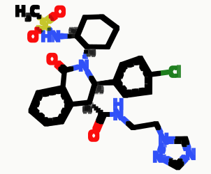 CS(=O)(=O)N[C@H]1CCCC[C@@H]1N1C(=O)c2ccccc2[C@@H](C(=O)NCCn2cncn2)[C@@H]1c1ccc(Cl)cc1